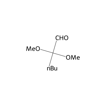 CCCCC(C=O)(OC)OC